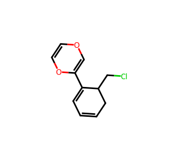 ClCC1CC=CC=C1C1=COC=CO1